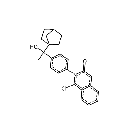 CC(O)(c1ccc(-n2c(Cl)c3ccccc3cc2=O)cc1)C12CCC(CC1)C2